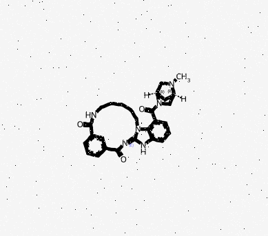 CN1C[C@H]2C[C@@H]1CN2C(=O)c1cccc2c1N1CCCCCNC(=O)c3cccc(c3)C(=O)/N=C/1N2